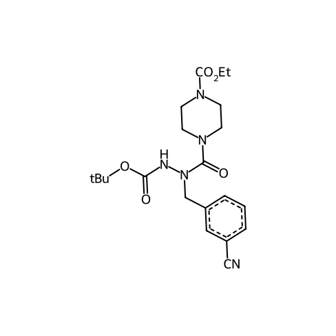 CCOC(=O)N1CCN(C(=O)N(Cc2cccc(C#N)c2)NC(=O)OC(C)(C)C)CC1